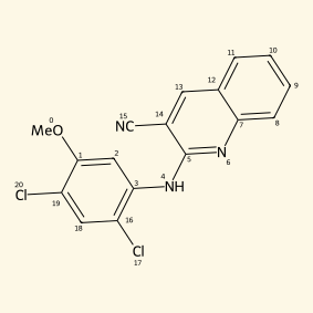 COc1cc(Nc2nc3ccccc3cc2C#N)c(Cl)cc1Cl